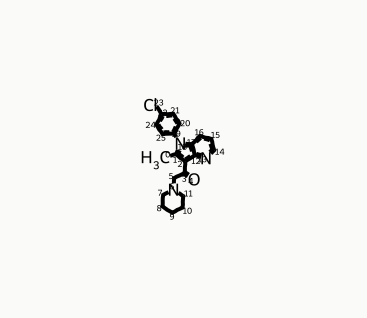 Cc1c(C(=O)CN2CCCCC2)c2ncccc2n1-c1ccc(Cl)cc1